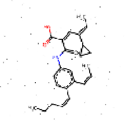 C=C(Nc1ccc(/C=C\CCC)c(/C=C\C)c1)/C(=C\C(=C/C)C1CC1)C(=O)O